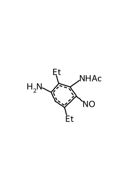 CCc1cc(N)c(CC)c(NC(C)=O)c1N=O